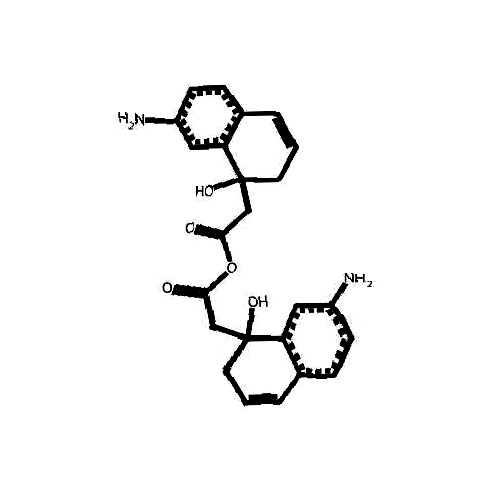 Nc1ccc2c(c1)C(O)(CC(=O)OC(=O)CC1(O)CC=Cc3ccc(N)cc31)CC=C2